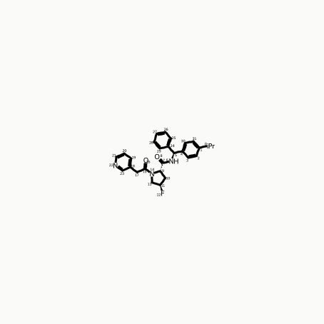 CC(C)c1ccc([C@@H](NC(=O)[C@@H]2C[C@@H](F)CN2C(=O)Cc2cccnc2)c2ccccc2)cc1